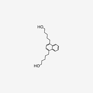 OCCCCCc1ccc(CCCCCO)c2ccccc12